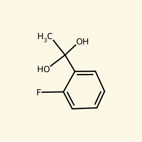 CC(O)(O)c1ccccc1F